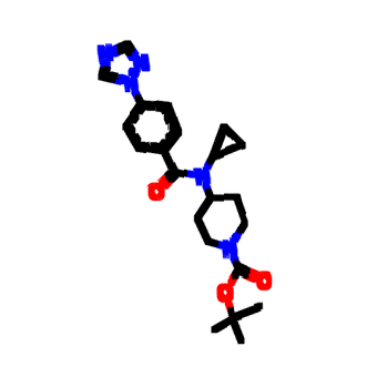 CC(C)(C)OC(=O)N1CCC(N(C(=O)c2ccc(-n3cncn3)cc2)C2CC2)CC1